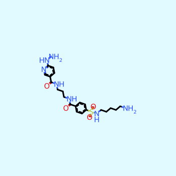 NCCCCCNS(=O)(=O)c1ccc(C(=O)NCCCNC(=O)c2ccc(NN)nc2)cc1